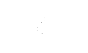 Cc1cc(C(=O)O)cnc1CN1CCC(c2cccc3c2OC(C)(c2ccc(Cl)cc2F)O3)CC1